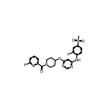 CS(=O)(=O)c1ccc(Nc2cc(OC3CCN(C(=O)c4cccc(F)n4)CC3)ncn2)c(F)c1